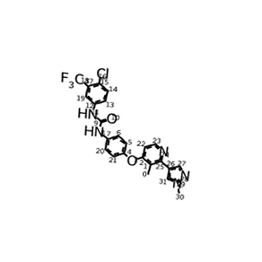 Cc1c(Oc2ccc(NC(=O)Nc3ccc(Cl)c(C(F)(F)F)c3)cc2)ccnc1-c1cnn(C)c1